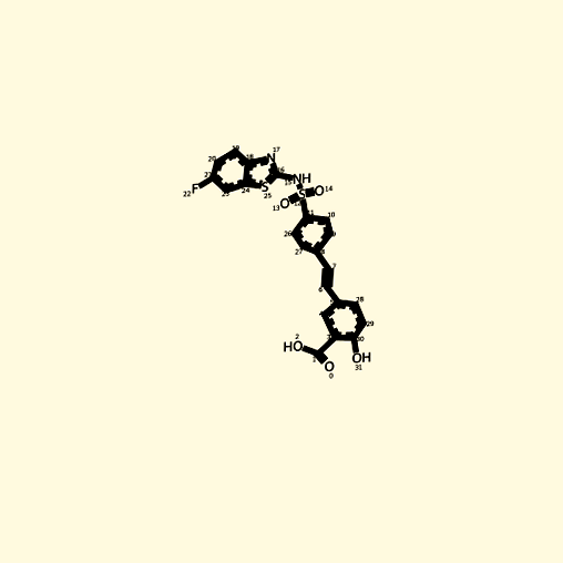 O=C(O)c1cc(C#Cc2ccc(S(=O)(=O)Nc3nc4ccc(F)cc4s3)cc2)ccc1O